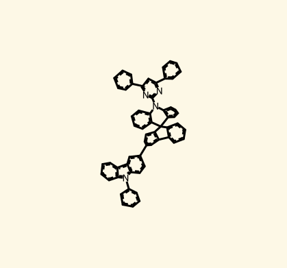 c1ccc(-c2cc(-c3ccccc3)nc(N3c4ccccc4C4(c5ccccc5-c5cc(-c6ccc7c(c6)c6ccccc6n7-c6ccccc6)ccc54)c4ccccc43)n2)cc1